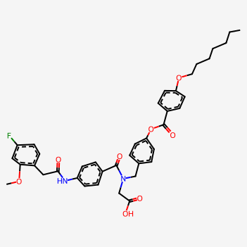 CCCCCCCOc1ccc(C(=O)Oc2ccc(CN(CC(=O)O)C(=O)c3ccc(NC(=O)Cc4ccc(F)cc4OC)cc3)cc2)cc1